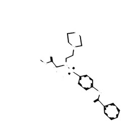 C[C@H](C(=O)NO)N(CCN1CCOCC1)S(=O)(=O)c1ccc(NC(=O)c2ccccc2)cc1